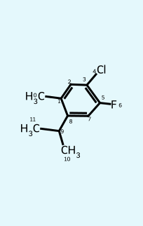 Cc1cc(Cl)c(F)cc1C(C)C